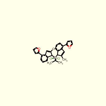 CC1=Cc2c(-c3ccco3)cccc2[CH]1[Zr]([Cl])([Cl])(=[C](C)C)[CH]1C(C)=Cc2c(-c3ccco3)cccc21